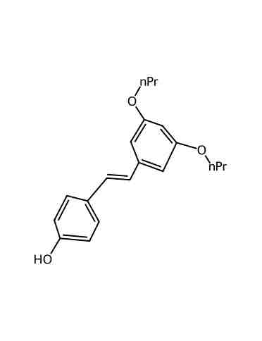 CCCOc1cc(C=Cc2ccc(O)cc2)cc(OCCC)c1